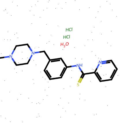 CN1CCN(Cc2cccc(NC(=S)c3ccccn3)c2)CC1.Cl.Cl.O